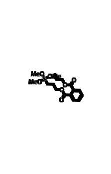 C=CCOC(=O)c1ccccc1C(=O)OCCC[Si](OC)(OC)OC